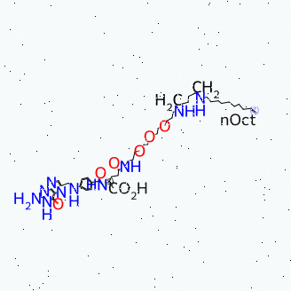 C=C(CCC(=C)NCCCOCCOCCOCCCNC(=O)CC[C@H](NC(=O)c1ccc(NCc2cnc3nc(N)[nH]c(=O)c3n2)cc1)C(=O)O)NCCCCCCCC/C=C\CCCCCCCC